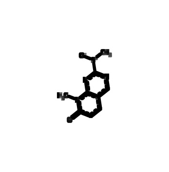 Cn1c(=O)ccc2cnc([S+](C)[O-])nc21